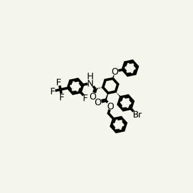 O=C(OCc1ccccc1)[C@@H]1[C@@H](c2ccc(Br)cc2)C[C@@H](Oc2ccccc2)C[C@H]1C(=O)Nc1ccc(C(F)(F)F)cc1F